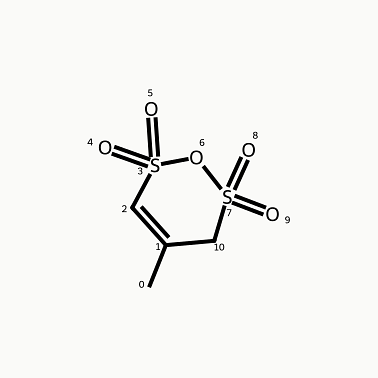 CC1=CS(=O)(=O)OS(=O)(=O)C1